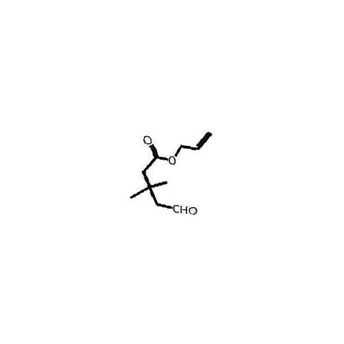 C=CCOC(=O)CC(C)(C)CC=O